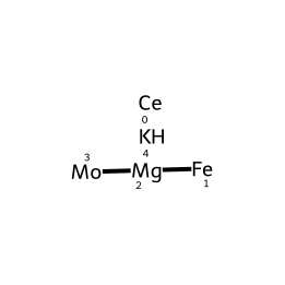 [Ce].[Fe][Mg][Mo].[KH]